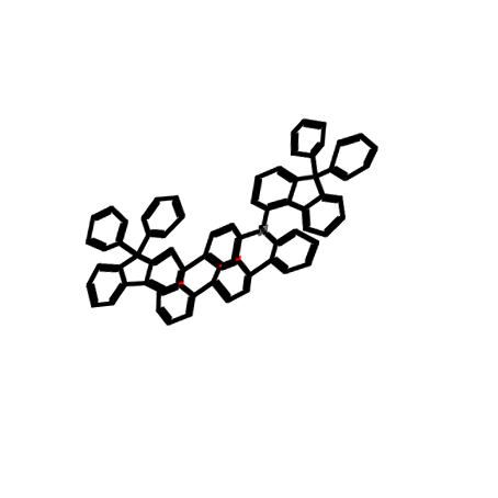 c1ccc(-c2ccc(-c3ccccc3N(c3ccc(-c4ccc5c(c4)C(c4ccccc4)(c4ccccc4)c4ccccc4-5)cc3)c3cccc4c3-c3ccccc3C4(c3ccccc3)c3ccccc3)cc2)cc1